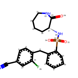 N#Cc1ccc(Cc2ccccc2S(=O)(=O)N[C@@H]2CCCCNC2=O)c(F)c1